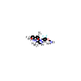 C=C(Nc1ccc(C)cc1C(/C=C\C(=C)C(F)(F)F)=C/C)C1=C(C)C(C(C)C)N(C)N(Cc2ccc(OCCN(CC)CCC)c(F)c2F)C1=C